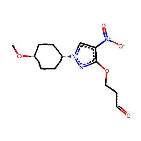 CO[C@H]1CC[C@H](n2cc([N+](=O)[O-])c(OCCC=O)n2)CC1